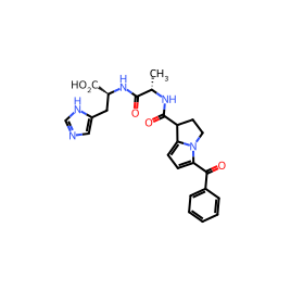 C[C@H](NC(=O)C1CCn2c(C(=O)c3ccccc3)ccc21)C(=O)N[C@@H](Cc1cnc[nH]1)C(=O)O